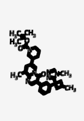 Cc1cc(C2CCCN(C(=O)OC(C)(C)C)C2)cn2c(=O)c(-c3cccc(C4(c5nncn5C)CC(C)C4)c3)cnc12